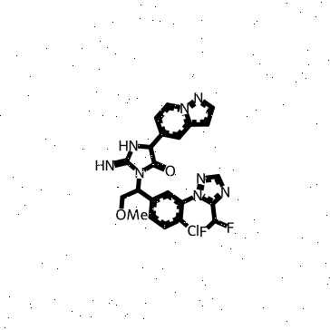 COCC(c1ccc(Cl)c(-n2ncnc2C(F)F)c1)N1C(=N)NC(c2ccn3nccc3c2)C1=O